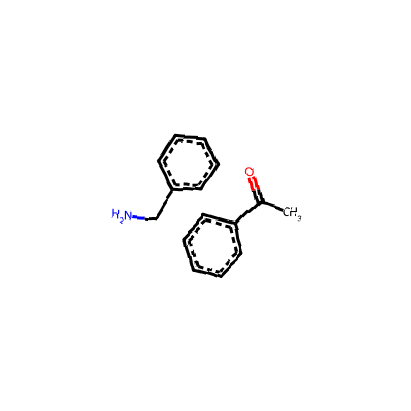 CC(=O)c1ccccc1.NCc1ccccc1